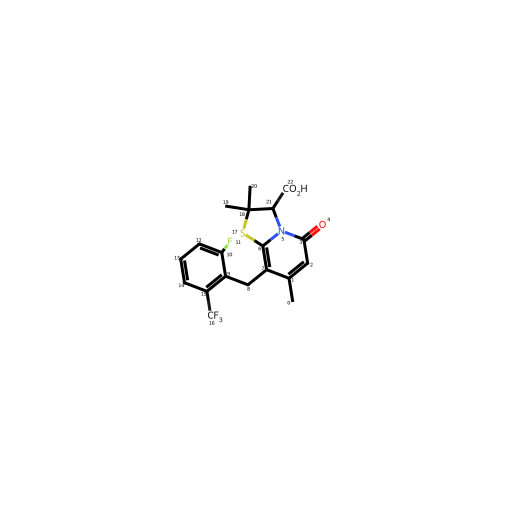 Cc1cc(=O)n2c(c1Cc1c(F)cccc1C(F)(F)F)SC(C)(C)C2C(=O)O